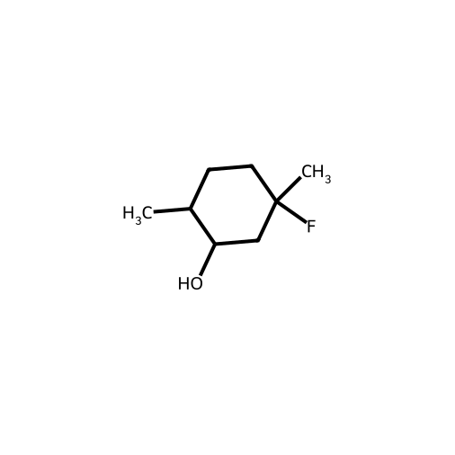 CC1CCC(C)(F)CC1O